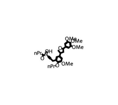 CCCOc1c(CC#CN(O)C(=O)CCC)cc(C2COC(c3cc(OC)c(OC)c(OC)c3)C2)cc1OC